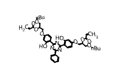 C=CC(=O)OC(COCCCC)COc1ccc(-c2nc(-c3ccccc3)nc(-c3ccc(OCC(COCCCC)OC(=O)C=C)cc3O)n2)c(O)c1